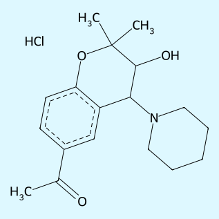 CC(=O)c1ccc2c(c1)C(N1CCCCC1)C(O)C(C)(C)O2.Cl